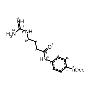 CCCCCCCCCCc1ccc(NC(=O)CCCNC(=N)N)cc1